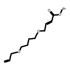 C=CCOCCCCOC/C=C/C(=O)OC(C)C